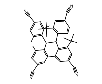 Cc1cc(C#N)cc(C)c1C(c1c(C)cc(C#N)cc1C)C(c1ccc(C#N)cc1C(C)(C)C)c1ccc(C#N)cc1C(C)(C)C